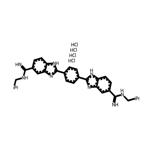 CC(C)CNC(=N)c1ccc2[nH]c(-c3ccc(-c4nc5cc(C(=N)NCC(C)C)ccc5[nH]4)cc3)nc2c1.Cl.Cl.Cl.Cl